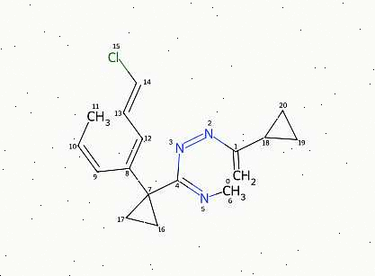 C=C(/N=N\C(=N/C)C1(C(/C=C\C)=C/C=C/Cl)CC1)C1CC1